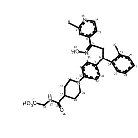 Cc1cc(C(CC(c2ccc(N3CCC(C(=O)NCC(=O)O)CC3)cc2)c2ccccc2C)=NO)ccn1